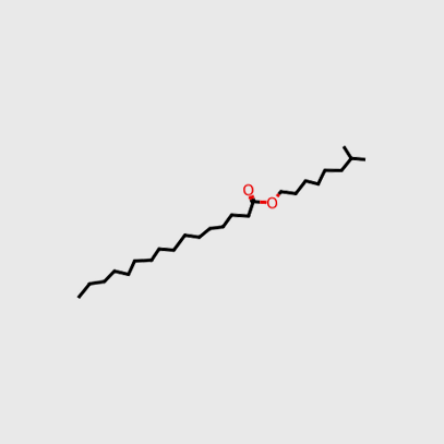 CCCCCCCCCCCCCCCC(=O)OCCCCCCC(C)C